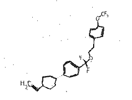 C=C[C@H]1CC[C@H](c2ccc(C(F)(F)OCCc3ccc(OC(F)(F)F)cc3)cc2)CC1